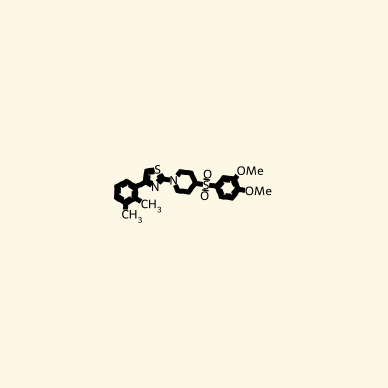 COc1ccc(S(=O)(=O)C2CCN(c3nc(-c4cccc(C)c4C)cs3)CC2)cc1OC